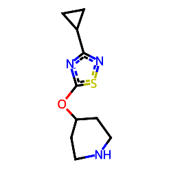 C1CC(Oc2nc(C3CC3)ns2)CCN1